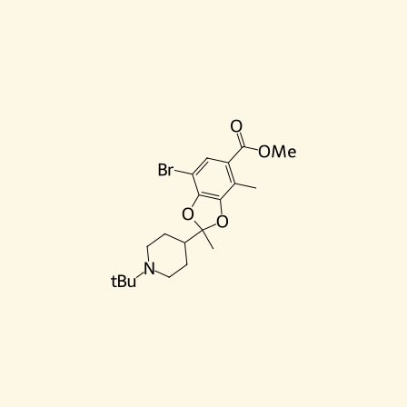 COC(=O)c1cc(Br)c2c(c1C)OC(C)(C1CCN(C(C)(C)C)CC1)O2